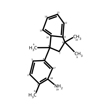 Cc1ccc(C2(C)CC(C)(C)c3ccccc32)cc1N